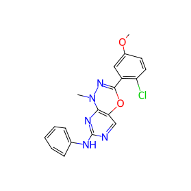 COc1ccc(Cl)c(C2=NN(C)c3nc(Nc4ccccc4)ncc3O2)c1